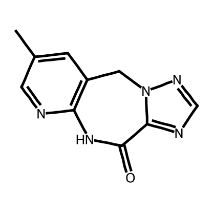 Cc1cnc2c(c1)Cn1ncnc1C(=O)N2